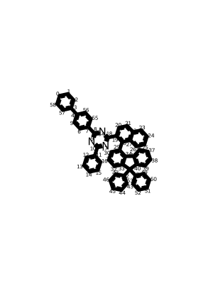 c1ccc(-c2ccc(-c3nc(-c4ccccc4)nc(-c4ccc5ccccc5c4-c4cccc5c4-c4ccccc4C5(c4ccccc4)c4ccccc4)n3)cc2)cc1